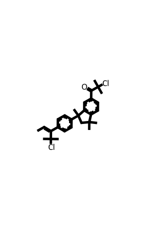 CC=C(c1ccc(C2(C)CC(C)(C)c3ccc(C(=O)C(C)(C)Cl)cc32)cc1)C(C)(C)Cl